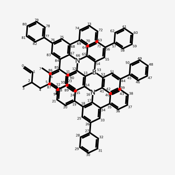 C=CC(C)CC(CC)N(C)c1cc2c3c(c1)N(c1c(-c4ccccc4)cc(-c4ccccc4)cc1-c1ccccc1)c1ccc(-c4ccccc4)cc1B3c1cc(-c3ccccc3)ccc1N2c1c(-c2ccccc2)cc(-c2ccccc2)cc1-c1ccccc1